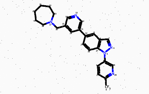 FC(F)(F)c1ccc(-n2ncc3cc(-c4cncc(CN5CCCCCC5)c4)ccc32)cn1